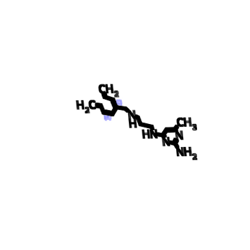 C=C/C=C\C(=C/C=C)CNCCCNc1cc(C)nc(N)n1